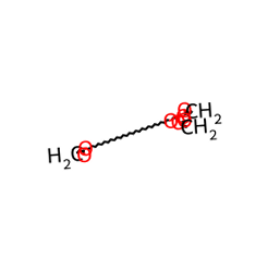 C=CC(=O)OCCCCCCCCCCCCCCCCCCCCCCCCCCOCC(COC(=O)C=C)OC(=O)C=C